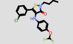 CCCCn1sc(-c2cccc(Cl)c2)c(Nc2ccc(OC(F)F)cc2)c1=O